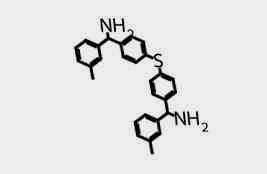 Cc1cccc(C(N)c2ccc(Sc3ccc(C(N)c4cccc(C)c4)cc3)cc2)c1